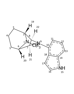 CN1[C@@H]2CCC[C@H]1[C@H]1[C@@H]2N1c1cccc2[nH]ccc12